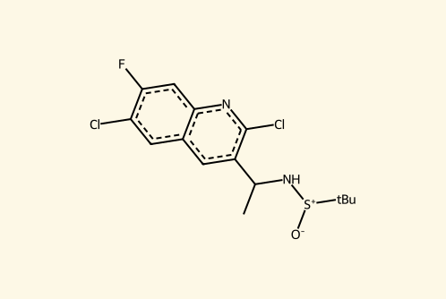 CC(N[S+]([O-])C(C)(C)C)c1cc2cc(Cl)c(F)cc2nc1Cl